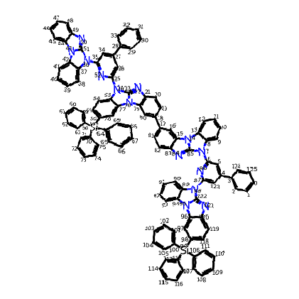 c1ccc(-c2cc(-n3c4ccccc4n4c5cc(-c6ccc7nc8n(-c9cc(-c%10ccccc%10)cc(-n%10c%11ccccc%11n%11c%12ccccc%12nc%10%11)n9)c9ccc([Si](c%10ccccc%10)(c%10ccccc%10)c%10ccccc%10)cc9n8c7c6)ccc5nc34)nc(-n3c4ccccc4n4c5cc([Si](c6ccccc6)(c6ccccc6)c6ccccc6)ccc5nc34)c2)cc1